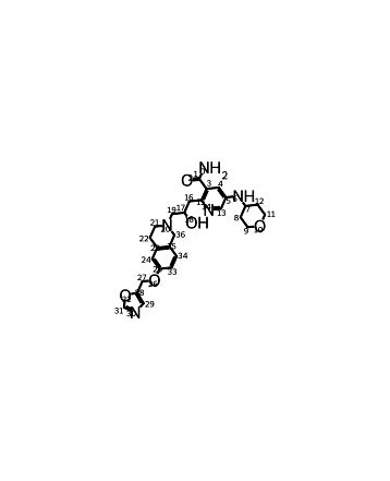 NC(=O)c1cc(NC2CCOCC2)cnc1CC(O)CN1CCc2cc(OCc3cnco3)ccc2C1